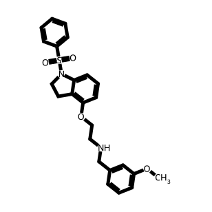 COc1cccc(CNCCOc2cccc3c2CCN3S(=O)(=O)c2ccccc2)c1